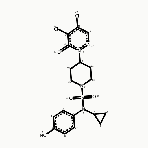 N#Cc1ccc(N(C2CC2)S(=O)(=O)N2CCC(n3ncc(Cl)c(Cl)c3=O)CC2)cc1